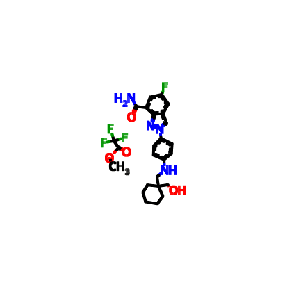 COC(=O)C(F)(F)F.NC(=O)c1cc(F)cc2cn(-c3ccc(NCC4(CO)CCCCC4)cc3)nc12